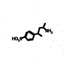 CC(N)CC(C)c1ccc(S(=O)(=O)O)cc1